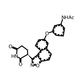 CC(=O)Nc1cccc(Oc2ccc3c(ccc4onc([C@@H]5CCC(=O)NC5=O)c43)c2)c1